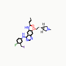 C/C=C/C(=O)Nc1cc2c(Nc3ccc(F)c(CI)c3)ncnc2cc1OCC[C@@H]1[C@H]2CN(C)C[C@@H]12